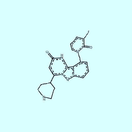 O=c1cc(C2CCNCC2)n2nc3cccc(-n4cccc(F)c4=O)c3c2[nH]1